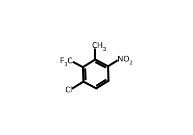 Cc1c([N+](=O)[O-])ccc(Cl)c1C(F)(F)F